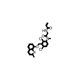 C=CC(=O)NCC(=O)N(C)c1ccc(Cl)c(COc2cccc3ccc(C)nc23)c1Cl